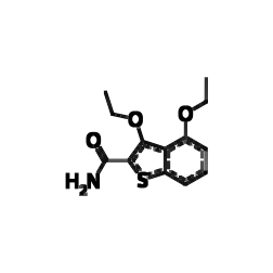 CCOc1cccc2sc(C(N)=O)c(OCC)c12